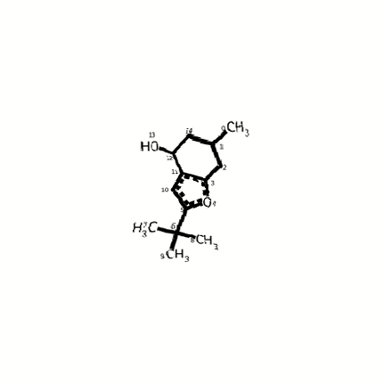 CC1Cc2oc(C(C)(C)C)cc2C(O)C1